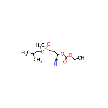 CCOC(=O)OC(C#N)CCP(C)(=O)OCC(C)C